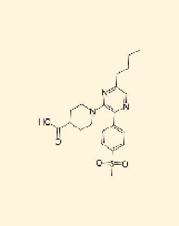 CCCCc1cnc(-c2ccc(S(C)(=O)=O)cc2)c(N2CCC(C(=O)O)CC2)n1